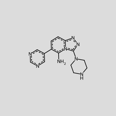 Nc1c(-c2cncnc2)ccc2nnc(N3CCNCC3)n12